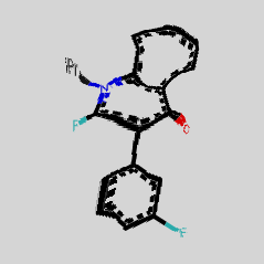 CC(C)n1c(F)c(-c2cccc(F)c2)c(=O)c2ccccc21